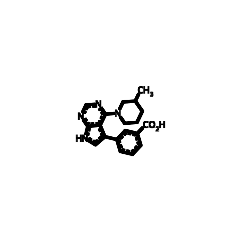 CC1CCCN(c2ncnc3[nH]cc(-c4cccc(C(=O)O)c4)c23)C1